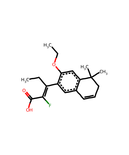 CCOc1cc2c(cc1C(CC)=C(F)C(=O)O)C=CCC2(C)C